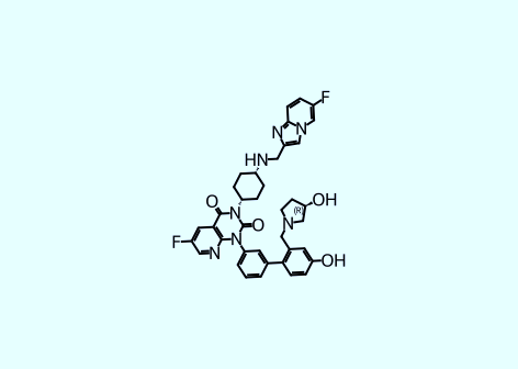 O=c1c2cc(F)cnc2n(-c2cccc(-c3ccc(O)cc3CN3CC[C@@H](O)C3)c2)c(=O)n1[C@H]1CC[C@@H](NCc2cn3cc(F)ccc3n2)CC1